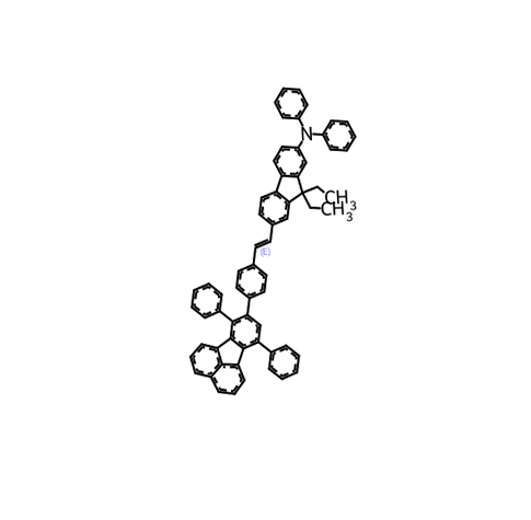 CCC1(CC)c2cc(/C=C/c3ccc(-c4cc(-c5ccccc5)c5c(c4-c4ccccc4)-c4cccc6cccc-5c46)cc3)ccc2-c2ccc(N(c3ccccc3)c3ccccc3)cc21